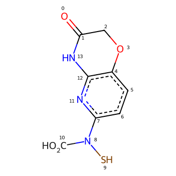 O=C1COc2ccc(N(S)C(=O)O)nc2N1